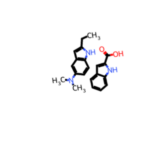 CCc1cc2cc(N(C)C)ccc2[nH]1.O=C(O)c1cc2ccccc2[nH]1